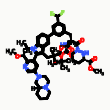 CCn1c(-c2cc(N3CCN4CCCC[C@@H]4C3)cnc2[C@H](C)OC)c(CC(C)(C)COC(C)=O)c2cc(-c3cc(C[C@H](NC(=O)OC(C)(C)C)C(=O)N4CCC[C@@H](C(=O)OC)N4)cc(C(F)F)c3)ccc21